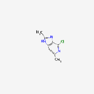 Cc1cc2[nH]c(C)nc2c(Cl)n1